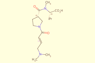 CC(C)[C@@H](C(=O)O)N(C)C(=O)[C@H]1CCN(C(=O)/C=C/CN(C)C)C1